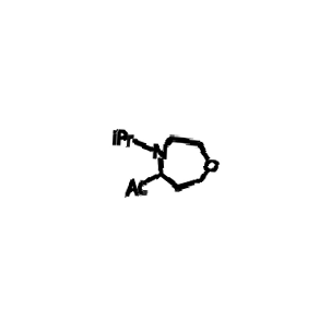 CC(=O)C1CCOCCN1C(C)C